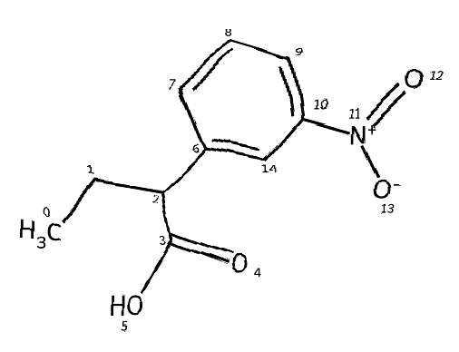 CCC(C(=O)O)c1cccc([N+](=O)[O-])c1